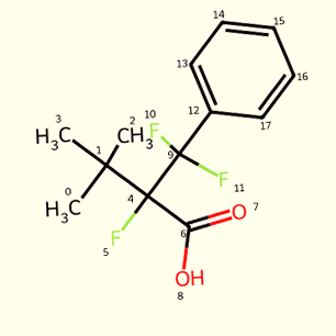 CC(C)(C)C(F)(C(=O)O)C(F)(F)c1ccccc1